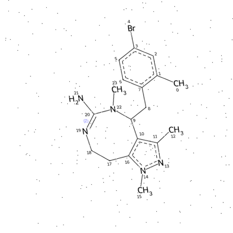 Cc1cc(Br)ccc1CC1c2c(C)nn(C)c2CC/N=C(/N)N1C